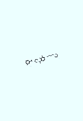 COc1cc(O)cc(C(=O)N[C@@H]2CCN(C(C)c3ccc(OCCCCN4CC[C@@H](O)C4)c(C)c3C)C2)c1